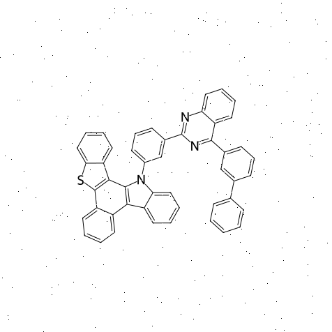 c1ccc(-c2cccc(-c3nc(-c4cccc(-n5c6ccccc6c6c7ccccc7c7sc8ccccc8c7c65)c4)nc4ccccc34)c2)cc1